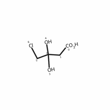 O=C(O)CC(O)(O)CCl